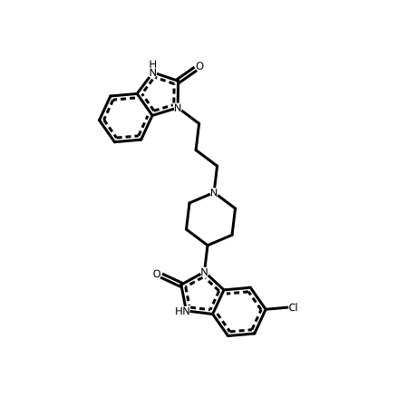 O=c1[nH]c2ccccc2n1CCCN1CCC(n2c(=O)[nH]c3ccc(Cl)cc32)CC1